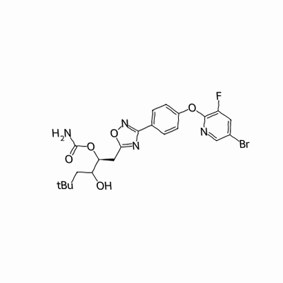 CC(C)(C)CC(O)[C@H](Cc1nc(-c2ccc(Oc3ncc(Br)cc3F)cc2)no1)OC(N)=O